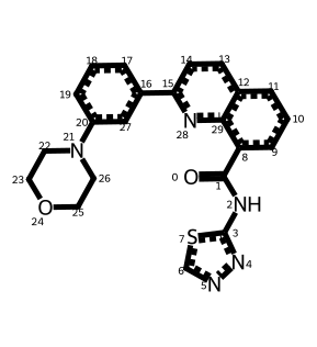 O=C(Nc1nncs1)c1cccc2ccc(-c3cccc(N4CCOCC4)c3)nc12